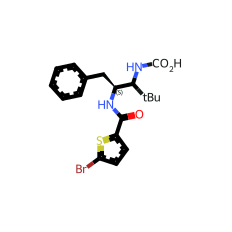 CC(C)(C)C(NC(=O)O)[C@H](Cc1ccccc1)NC(=O)c1ccc(Br)s1